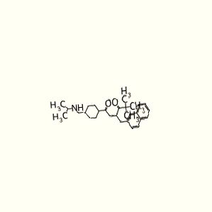 CC(C)NCC1CCC(C(=O)CC(Cc2ccc3ccccc3c2)C(=O)C(C)(C)C)CC1